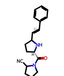 N#CC1CCCN1C(=O)[C@@H]1CCC(/C=C/c2ccccc2)N1